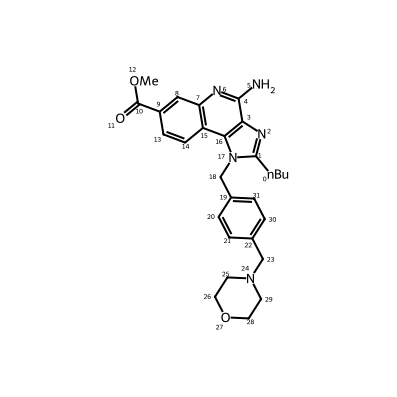 CCCCc1nc2c(N)nc3cc(C(=O)OC)ccc3c2n1Cc1ccc(CN2CCOCC2)cc1